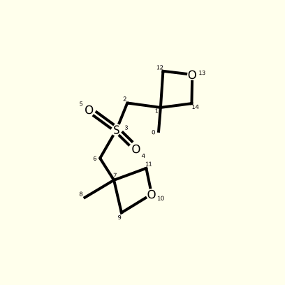 CC1(CS(=O)(=O)CC2(C)COC2)COC1